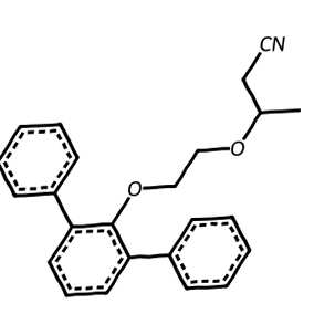 CC(CC#N)OCCOc1c(-c2ccccc2)cccc1-c1ccccc1